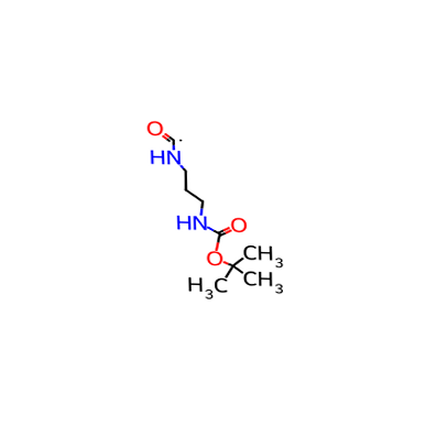 CC(C)(C)OC(=O)NCCCN[C]=O